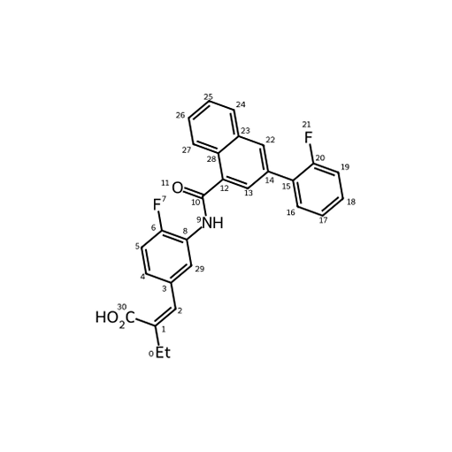 CCC(=Cc1ccc(F)c(NC(=O)c2cc(-c3ccccc3F)cc3ccccc23)c1)C(=O)O